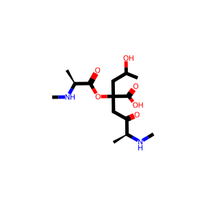 CN[C@@H](C)C(=O)CC(CC(C)O)(OC(=O)[C@H](C)NC)C(=O)O